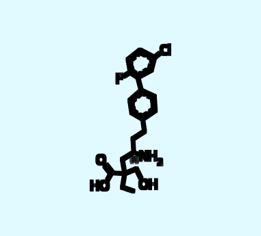 CCC(CO)(C[C@H](N)CCc1ccc(-c2cc(Cl)ccc2F)cc1)C(=O)O